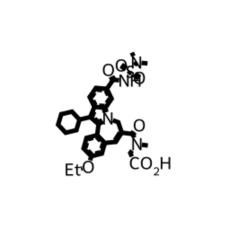 CCOc1ccc2c(c1)C=C(C(=O)N(C)CC(=O)O)Cn1c-2c(C2CCCCC2)c2ccc(C(=O)NS(=O)(=O)N(C)C)cc21